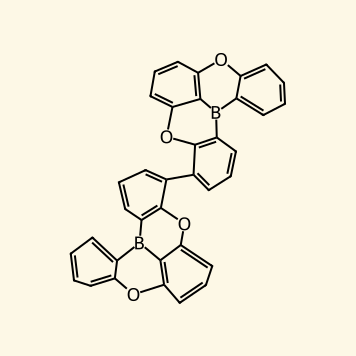 c1ccc2c(c1)Oc1cccc3c1B2c1cccc(-c2cccc4c2Oc2cccc5c2B4c2ccccc2O5)c1O3